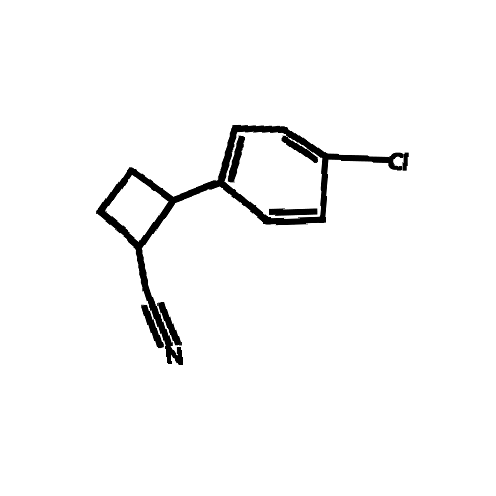 N#CC1CCC1c1ccc(Cl)cc1